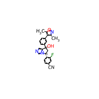 Cc1noc(C)c1-c1cccc([C@@]2(O)C[C@H](c3ccc(C#N)cc3F)n3cncc32)c1